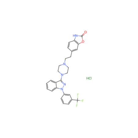 Cl.O=c1[nH]c2ccc(CCN3CCN(c4nn(-c5cccc(C(F)(F)F)c5)c5ccccc45)CC3)cc2o1